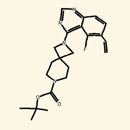 C=Cc1ccc2ncnc(N3CC4(CCN(C(=O)OC(C)(C)C)CC4)C3)c2c1F